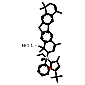 Cl.Cl.[CH2]=[Zr]([CH2]C)([C]1=CC(C(C)(C)C)=CC1C)([c]1ccccc1)[CH]1C=C(C)c2cc3c(cc2C1(C)C)Cc1cc2c(cc1-3)C(C)=CCC2(C)C